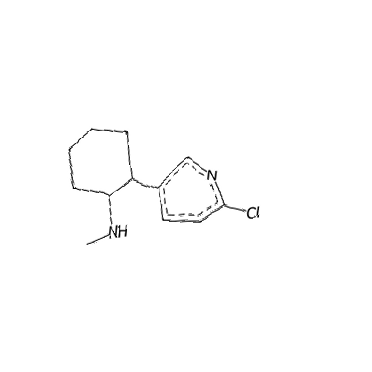 CNC1CCCCC1c1ccc(Cl)nc1